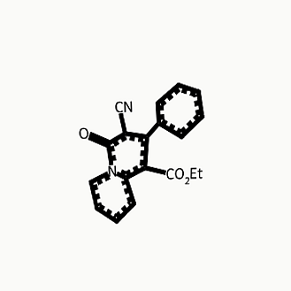 CCOC(=O)c1c(-c2ccccc2)c(C#N)c(=O)n2ccccc12